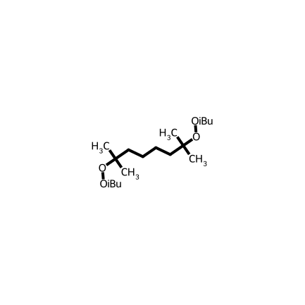 CC(C)COOC(C)(C)CCCCC(C)(C)OOCC(C)C